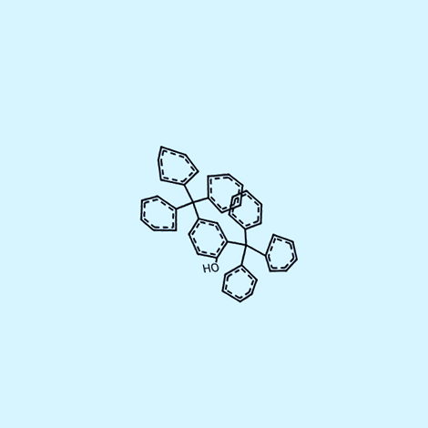 Oc1ccc(C(c2ccccc2)(c2ccccc2)c2ccccc2)cc1C(c1ccccc1)(c1ccccc1)c1ccccc1